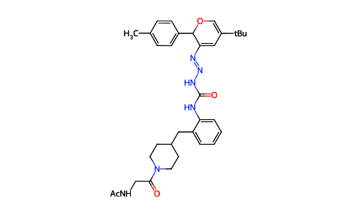 CC(=O)NCC(=O)N1CCC(Cc2ccccc2NC(=O)NN=NC2=CC(C(C)(C)C)=COC2c2ccc(C)cc2)CC1